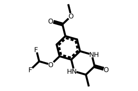 COC(=O)c1cc2c(c(OC(F)F)c1)NC(C)C(=O)N2